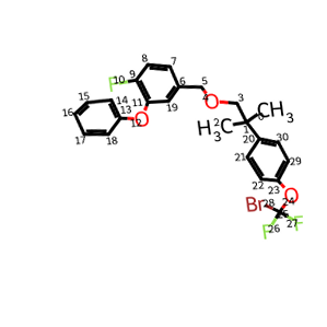 CC(C)(COCc1ccc(F)c(Oc2ccccc2)c1)c1ccc(OC(F)(F)Br)cc1